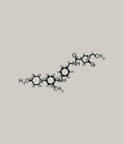 CCN1CC(C(=O)NCc2ccc(Nc3ccc(N4CCC(C)CC4)cc3C)cc2)CC1=O